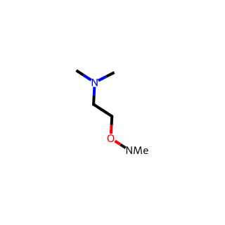 CNOCCN(C)C